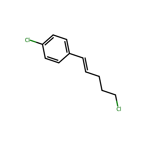 ClCCCC=Cc1ccc(Cl)cc1